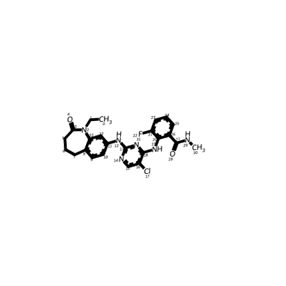 CCN1C(=O)CCCc2ccc(Nc3ncc(Cl)c(Nc4c(F)cccc4C(=O)NC)n3)cc21